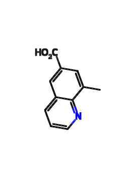 Cc1cc(C(=O)O)cc2cccnc12